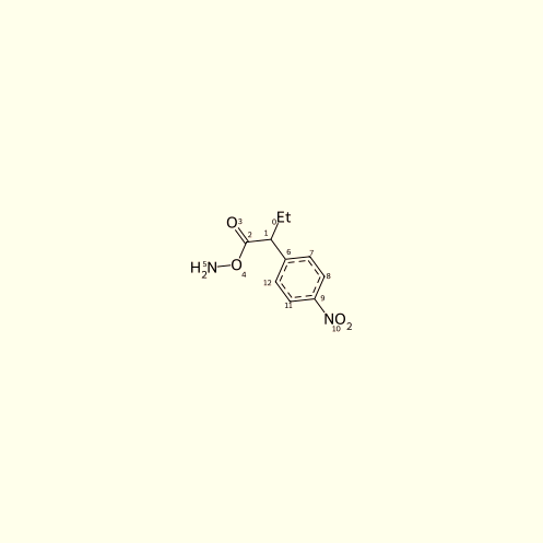 CCC(C(=O)ON)c1ccc([N+](=O)[O-])cc1